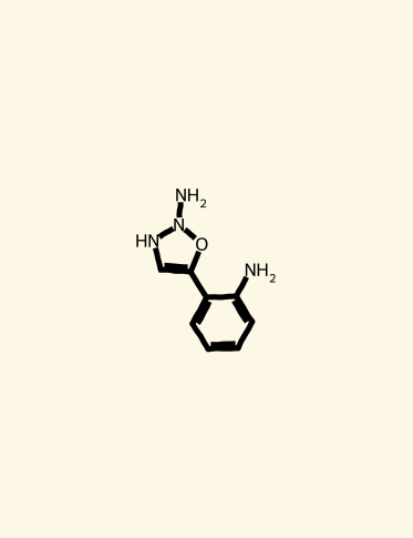 Nc1ccccc1C1=CNN(N)O1